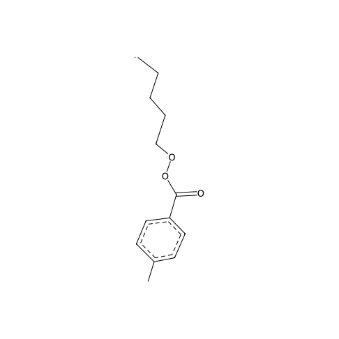 [CH2]CCCCOOC(=O)c1ccc(C)cc1